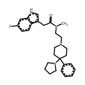 CN(CCN1CCC(c2ccccc2)(N2CCCC2)CC1)C(=O)Cc1c[nH]c2cc(F)ccc12